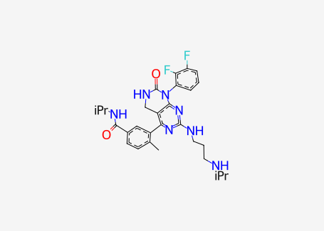 Cc1ccc(C(=O)NC(C)C)cc1-c1nc(NCCCNC(C)C)nc2c1CNC(=O)N2c1cccc(F)c1F